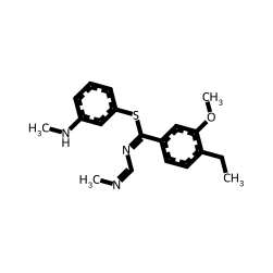 CCc1ccc(/C(=N\C=N/C)Sc2cccc(NC)c2)cc1OC